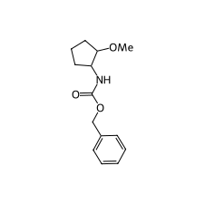 COC1CCCC1NC(=O)OCc1ccccc1